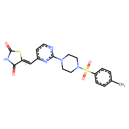 Cc1ccc(S(=O)(=O)N2CCN(c3nccc(/C=C4\SC(=O)NC4=O)n3)CC2)cc1